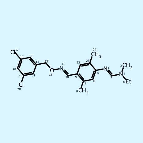 CCN(C)C=Nc1cc(C)c(/C=N/OCc2cc(Cl)cc(Cl)c2)cc1C